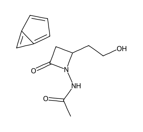 CC(=O)NN1C(=O)CC1CCO.c1cc2cc-2c1